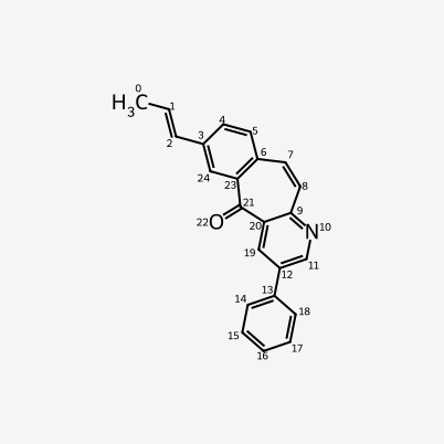 C/C=C/c1ccc2ccc3ncc(-c4ccccc4)cc3c(=O)c2c1